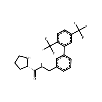 O=C(NCc1cccc(-c2cc(C(F)(F)F)ccc2C(F)(F)F)c1)[C@@H]1CCCN1